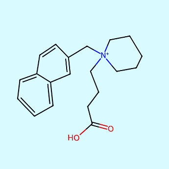 O=C(O)CCC[N+]1(Cc2ccc3ccccc3c2)CCCCC1